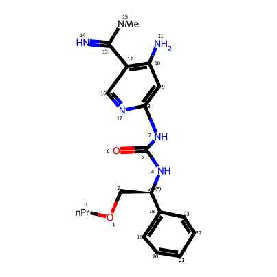 CCCOC[C@@H](NC(=O)Nc1cc(N)c(C(=N)NC)cn1)c1ccccc1